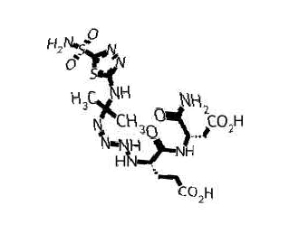 CC(C)(/N=N\NN[C@@H](CCC(=O)O)C(=O)N[C@@H](CC(=O)O)C(N)=O)Nc1nnc(S(N)(=O)=O)s1